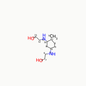 CC1CCC(NCCO)CC1NCCO